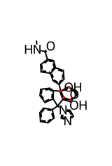 CNC(=O)c1ccc2cc(C(O)(CC(=O)O)c3ccccc3C(c3ccccc3)(c3ccccc3)n3ccnc3)ccc2c1